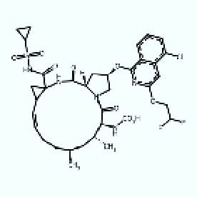 C[C@H]1CC/C=C\C2CC2(C(=O)NS(=O)(=O)C2CC2)NC(=O)[C@@H]2C[C@@H](Oc3nc(OCC(F)F)cc4c(Cl)cccc34)CN2C(=O)[C@@H](NC(=O)O)[C@H](C)C1